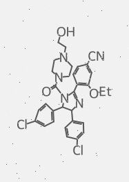 CCOc1cc(C#N)ccc1C1=NC(c2ccc(Cl)cc2)C(c2ccc(Cl)cc2)N1C(=O)N1CCN(CCO)CC1